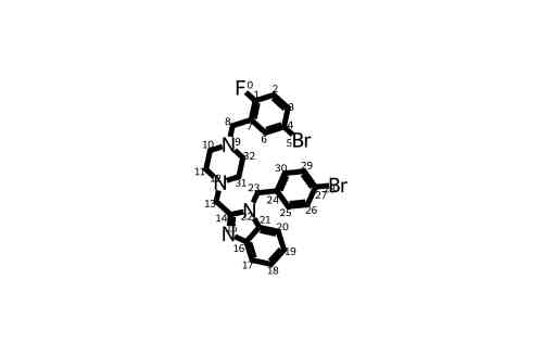 Fc1ccc(Br)cc1CN1CCN(Cc2nc3ccccc3n2Cc2ccc(Br)cc2)CC1